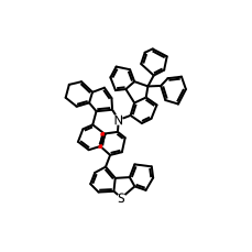 C1=c2ccc(N(c3ccc(-c4cccc5sc6ccccc6c45)cc3)c3cccc4c3-c3ccccc3C4(c3ccccc3)c3ccccc3)c(-c3ccccc3)c2=CCC1